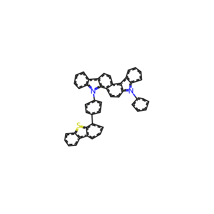 c1ccc(-n2c3ccccc3c3c4ccc5c6ccccc6n(-c6ccc(-c7cccc8c7sc7ccccc78)cc6)c5c4ccc32)cc1